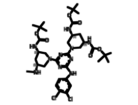 CN[C@H]1C[C@@H](NC(=O)OC(C)(C)C)CN(c2nc(Nc3ccc(Cl)c(Cl)c3)nc(N3C[C@H](NC(=O)OC(C)(C)C)C[C@H](NC(=O)OC(C)(C)C)C3)n2)C1